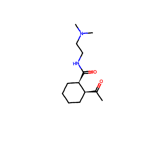 CC(=O)[C@H]1CCCC[C@H]1C(=O)NCCN(C)C